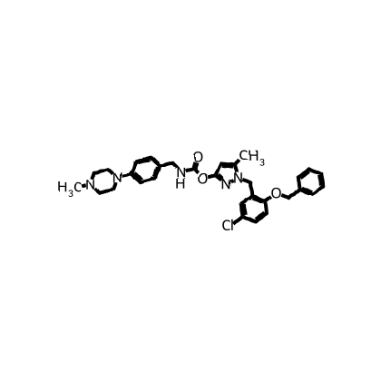 Cc1cc(OC(=O)NCc2ccc(N3CCN(C)CC3)cc2)nn1Cc1cc(Cl)ccc1OCc1ccccc1